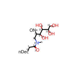 CCCCCCCCCCCC(=O)N(C)CC(N=O)C(O)C(O)C(O)CO